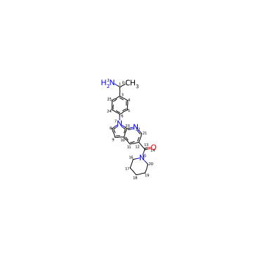 CC(N)c1ccc(-n2ccc3cc(C(=O)N4CCCCC4)cnc32)cc1